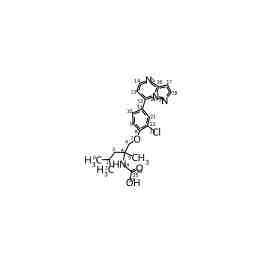 CC(C)CC(C)(COc1ccc(-c2ccnc3ccnn23)cc1Cl)NC(=O)O